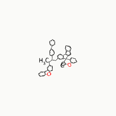 CC(c1ccc2oc3ccccc3c2c1)C(Cc1ccc2c(c1)C1(c3ccccc3Oc3ccccc31)c1ccc3ccccc3c1-2)c1ccc(-c2ccccc2)cc1